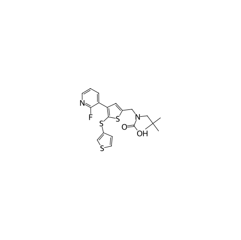 CC(C)(C)CN(Cc1cc(-c2cccnc2F)c(Sc2ccsc2)s1)C(=O)O